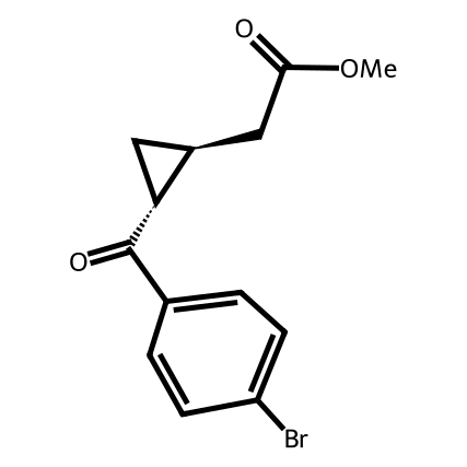 COC(=O)C[C@@H]1C[C@H]1C(=O)c1ccc(Br)cc1